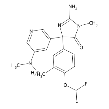 Cc1cc(C2(c3cncc(N(C)C)c3)N=C(N)N(C)C2=O)ccc1OC(F)F